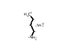 CCCC[NH3+].[I-].[Sn]